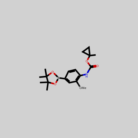 COc1cc(B2OC(C)(C)C(C)(C)O2)ccc1NC(=O)OC1(C)CC1